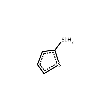 [SbH2][c]1cccs1